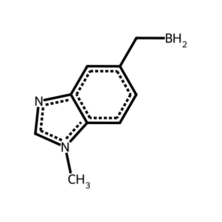 BCc1ccc2c(c1)ncn2C